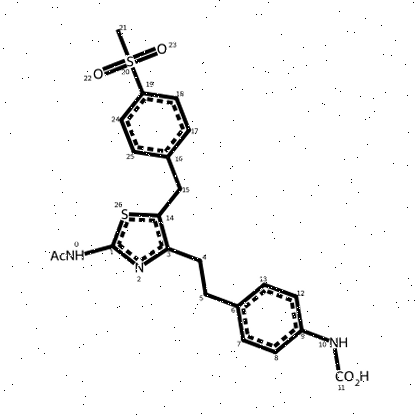 CC(=O)Nc1nc(CCc2ccc(NC(=O)O)cc2)c(Cc2ccc(S(C)(=O)=O)cc2)s1